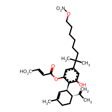 C=C(C)[C@@H]1CCC(C)=C[C@H]1c1c(O)cc(C(C)(C)CCCCCCO[N+](=O)[O-])cc1OC(=O)C=CC(=O)O